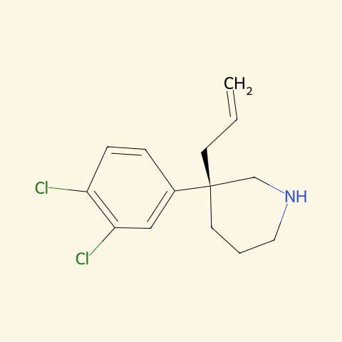 C=CC[C@]1(c2ccc(Cl)c(Cl)c2)CCCNC1